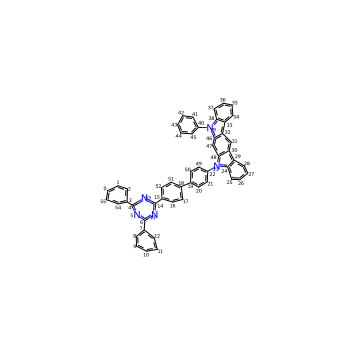 c1ccc(-c2nc(-c3ccccc3)nc(-c3ccc(-c4ccc(-n5c6ccccc6c6cc7c8ccccc8n(-c8ccccc8)c7cc65)cc4)cc3)n2)cc1